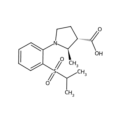 CC(C)S(=O)(=O)c1ccccc1N1CC[C@H](C(=O)O)[C@H]1C